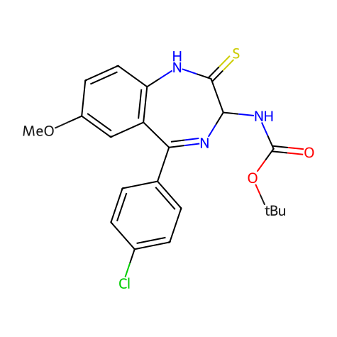 COc1ccc2c(c1)C(c1ccc(Cl)cc1)=NC(NC(=O)OC(C)(C)C)C(=S)N2